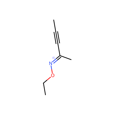 CC#C/C(C)=N/OCC